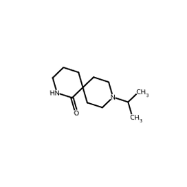 CC(C)N1CCC2(CCCNC2=O)CC1